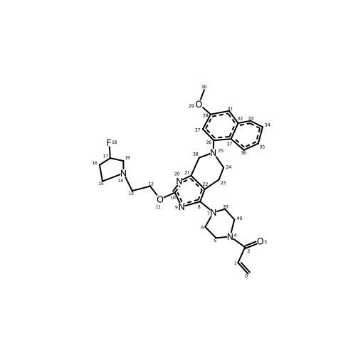 C=CC(=O)N1CCN(c2nc(OCCN3CCC(F)C3)nc3c2CCN(c2cc(OC)cc4ccccc24)C3)CC1